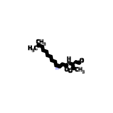 CC(=O)[C@H](CC=O)NC(=O)C/C=C\CCCCCCCC(C)C